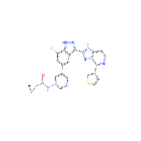 O=C(Nc1cncc(-c2cc(F)c3[nH]nc(-c4nc5c(-c6ccsc6)nccc5[nH]4)c3c2)c1)C1CC1